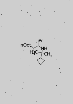 CCCCCCCCC(=O)C(NC(C)(C)C1CCC1)C(C)C